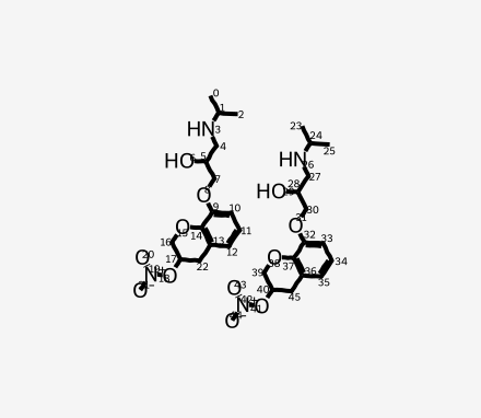 CC(C)NCC(O)COc1cccc2c1OCC(O[N+](=O)[O-])C2.CC(C)NCC(O)COc1cccc2c1OCC(O[N+](=O)[O-])C2